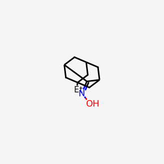 CCC12CC3CC(C1)C(=NO)C(C3)C2